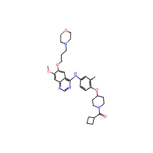 COc1cc2ncnc(Nc3ccc(OC4CCN(C(=O)C5CCC5)CC4)c(C)c3)c2cc1OCCCN1CCOCC1